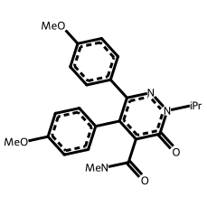 CNC(=O)c1c(-c2ccc(OC)cc2)c(-c2ccc(OC)cc2)nn(C(C)C)c1=O